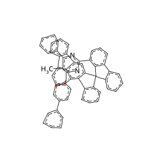 Cc1c(-c2ccccc2)nc(-c2cccc3c2C2(c4ccccc4-3)c3ccccc3-c3c2cc2c4c(cccc34)-c3ccccc3-2)nc1-c1ccc(-c2ccccc2)cc1